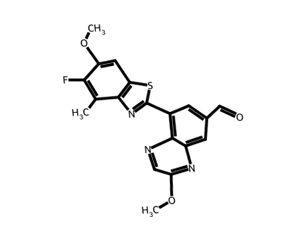 COc1cnc2c(-c3nc4c(C)c(F)c(OC)cc4s3)cc(C=O)cc2n1